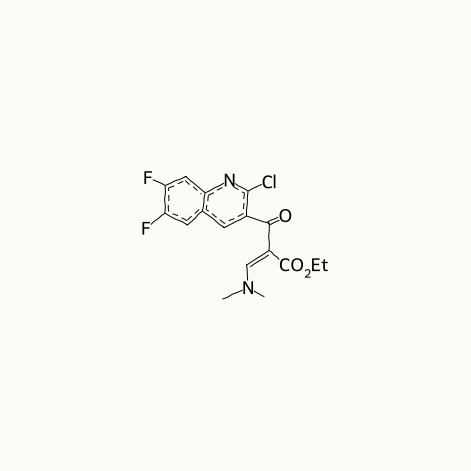 CCOC(=O)C(=CN(C)C)C(=O)c1cc2cc(F)c(F)cc2nc1Cl